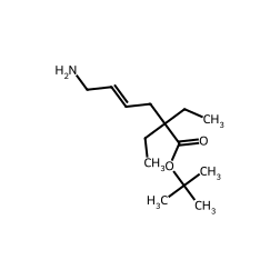 CCC(CC)(C/C=C/CN)C(=O)OC(C)(C)C